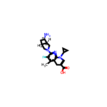 Cc1c(F)c(N2C[C@H]3C[C@@H](N)[C@H]3C2)nc2c1CC(C(=O)O)=CN2C1CC1